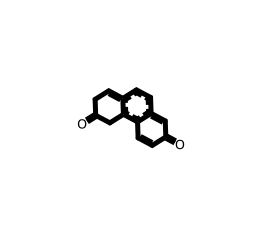 O=C1C=Cc2c3c(ccc2=C1)=CCC(=O)C3